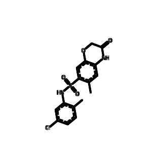 Cc1ccc(Cl)cc1NS(=O)(=O)c1cc2c(cc1C)NC(=O)CO2